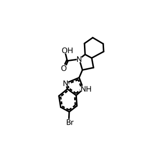 O=C(O)N1C(c2nc3ccc(Br)cc3[nH]2)CC2CCCCC21